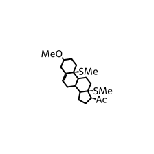 CO[C@H]1CC[C@@]2(SC)C(=CCC3C2CC[C@@]2(SC)C3CC[C@@H]2C(C)=O)C1